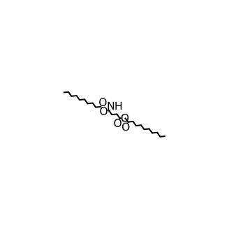 CCCCCCCCCC(=O)OC(=N)CCC(=O)OC(=O)CCCCCCCCC